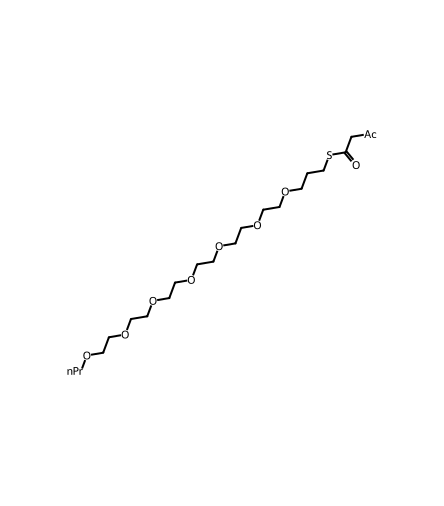 CCCOCCOCCOCCOCCOCCOCCOCCCSC(=O)CC(C)=O